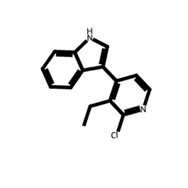 CCc1c(-c2c[nH]c3ccccc23)ccnc1Cl